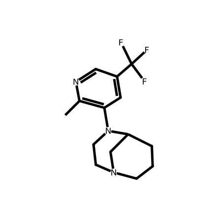 Cc1ncc(C(F)(F)F)cc1N1CCN2CCCC1C2